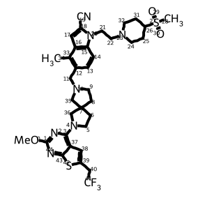 COc1nc(N2CCC3(CCN(Cc4ccc5c(cc(C#N)n5CCN5CCC(S(C)(=O)=O)CC5)c4C)C3)C2)c2cc(CC(F)(F)F)sc2n1